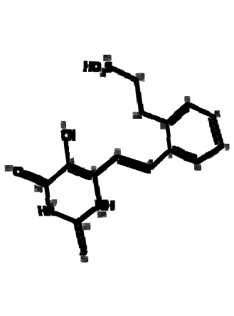 N#Cc1c(C=Cc2ccccc2CCS(=O)(=O)O)[nH]c(=S)[nH]c1=O